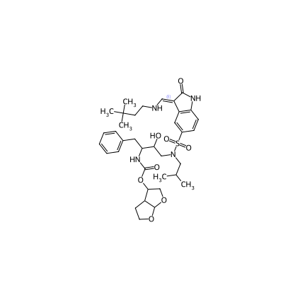 CC(C)CN(CC(O)C(Cc1ccccc1)NC(=O)OC1COC2OCCC12)S(=O)(=O)c1ccc2c(c1)/C(=C\NCCC(C)(C)C)C(=O)N2